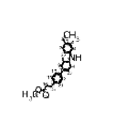 CCc1ccc(Nc2ccc(-c3ccc(CCC(=O)OC)cc3)cc2)cc1